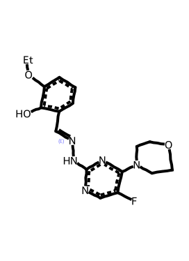 CCOc1cccc(/C=N/Nc2ncc(F)c(N3CCOCC3)n2)c1O